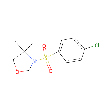 CC1(C)COCN1S(=O)(=O)c1ccc(Cl)cc1